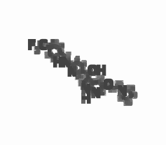 OC(c1ccc(NCc2ccc(C(F)(F)F)cc2)nc1)c1c[nH]c2ncc(OCCN3CCCC3)cc12